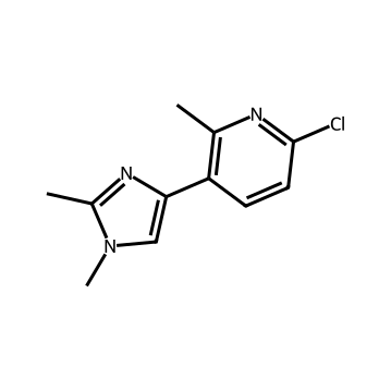 Cc1nc(Cl)ccc1-c1cn(C)c(C)n1